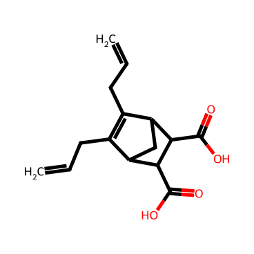 C=CCC1=C(CC=C)C2CC1C(C(=O)O)C2C(=O)O